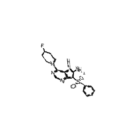 Nc1[nH]c2c(N3CCC(F)CC3)ncnc2c1S(=O)(=O)c1ccccc1